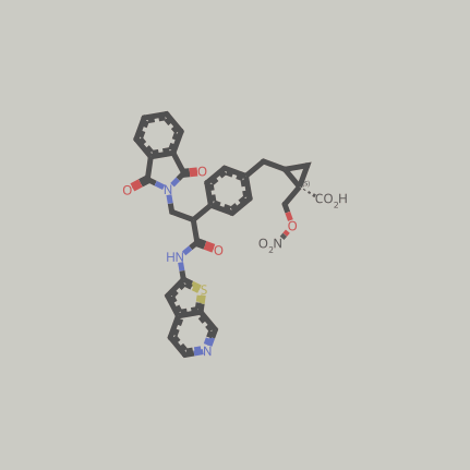 O=C(Nc1cc2ccncc2s1)C(CN1C(=O)c2ccccc2C1=O)c1ccc(CC2C[C@]2(CO[N+](=O)[O-])C(=O)O)cc1